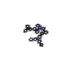 c1ccc(-c2ccc(N(c3ccc(-c4ccccc4)cc3)c3ccc(-c4ccc5c(c4)c4ccccc4n5-c4cccc(-c5nc(-n6c7ccccc7c7cc(-c8ccc9c(c8)c8ccccc8n9-c8ccccc8)ccc76)c6ccccc6n5)c4)cc3)cc2)cc1